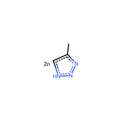 Cc1c[nH]nn1.[Zn]